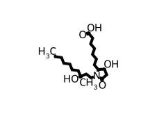 CCCCCCCC(C)(O)CCN1C(=O)CC(O)C1CCCCCCC(=O)O